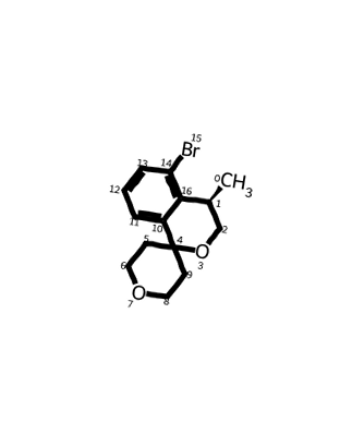 C[C@H]1COC2(CCOCC2)c2cccc(Br)c21